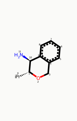 CC(C)[C@H]1OCc2ccccc2[C@@H]1N